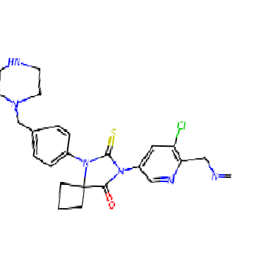 C=NCc1ncc(N2C(=O)C3(CCC3)N(c3ccc(CN4CCNCC4)cc3)C2=S)cc1Cl